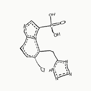 O=P(O)(O)c1cnc2ccc(Cl)c(Cc3nnn[nH]3)n12